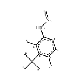 C=NNc1ccc(C)c(C(C)(C)C)c1C